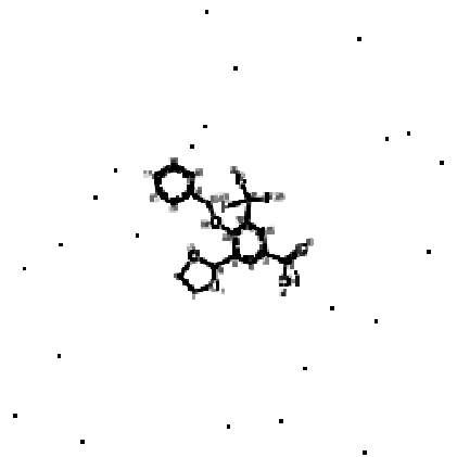 O=C(O)c1cc(C2OCCO2)c(OCc2ccccc2)c(C(F)(F)F)c1